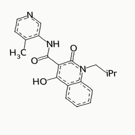 Cc1ccncc1NC(=O)c1c(O)c2ccccc2n(CC(C)C)c1=O